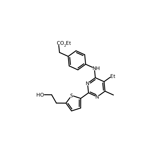 CCOC(=O)Cc1ccc(Nc2nc(-c3ccc(CCO)s3)nc(C)c2CC)cc1